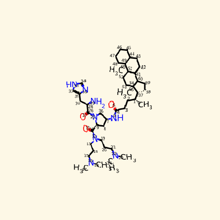 C[C@H](CCC(=O)N[C@H]1C[C@@H](C(=O)N(CCCN(C)C)CCCN(C)C)N(C(=O)C(N)Cc2c[nH]cn2)C1)[C@H]1CCC2C3CCC4CCCC[C@]4(C)C3CC[C@@]21C